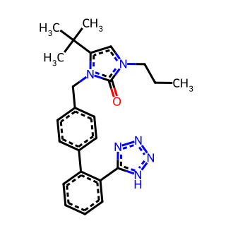 CCCn1cc(C(C)(C)C)n(Cc2ccc(-c3ccccc3-c3nnn[nH]3)cc2)c1=O